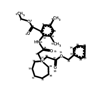 CCOC(=O)c1cc(C)cc(C)c1NC(=O)C[N+]1(CC(=O)OCc2ccccc2)CCCCCC1